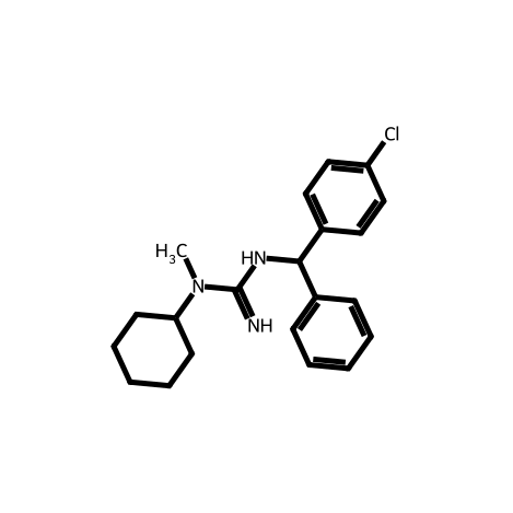 CN(C(=N)NC(c1ccccc1)c1ccc(Cl)cc1)C1CCCCC1